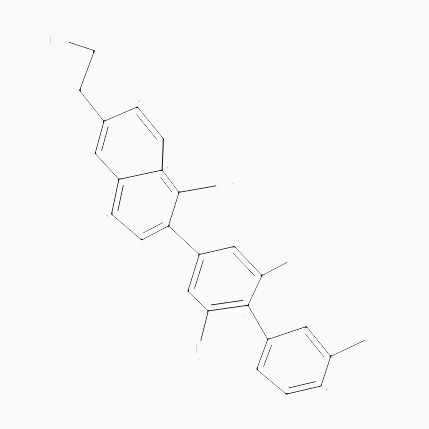 CCCc1ccc2c(F)c(-c3cc(F)c(-c4cccc(F)c4)c(F)c3)ccc2c1